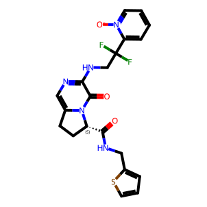 O=C(NCc1cccs1)[C@@H]1CCc2cnc(NCC(F)(F)c3cccc[n+]3[O-])c(=O)n21